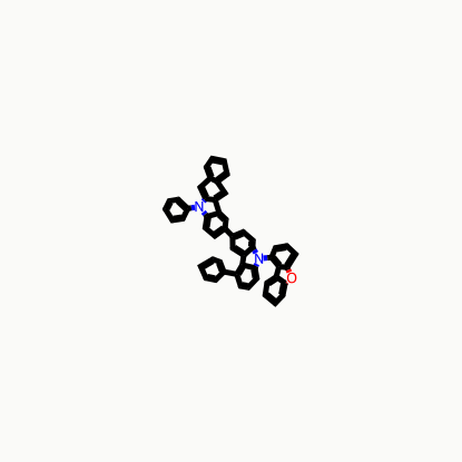 c1ccc(-c2cccc3c2c2cc(-c4ccc5c(c4)c4cc6ccccc6cc4n5-c4ccccc4)ccc2n3-c2cccc3oc4ccccc4c23)cc1